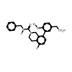 CCOc1ccc(CC(=O)O)cc1-c1ccc(F)c2c1CN(C(=O)N(F)Cc1ccccc1)CC2